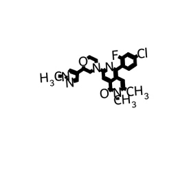 Cc1cc2c(-c3ccc(Cl)cc3F)nc(N3CCOC(c4cnn(C)c4)C3)cc2c(=O)n1C